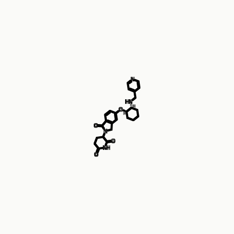 O=C1CCC(N2Cc3cc(O[C@@H]4CCCC[C@H]4NCc4ccncc4)ccc3C2=O)C(=O)N1